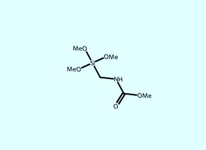 COC(=O)NC[Si](OC)(OC)OC